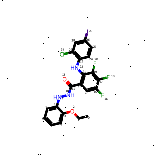 CCOc1ccccc1NNC(=O)c1cc(F)c(F)c(F)c1Nc1ccc(I)cc1Cl